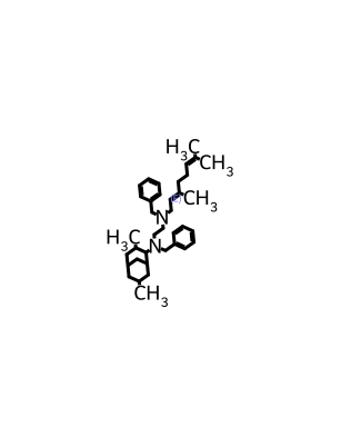 CC(C)=CCC/C(C)=C/CN(CCN(Cc1ccccc1)C1C(C)CC2CC(C)CC1C2)Cc1ccccc1